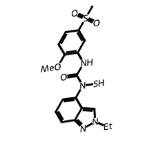 CCn1cc2c(N(S)C(=O)Nc3cc(S(C)(=O)=O)ccc3OC)cccc2n1